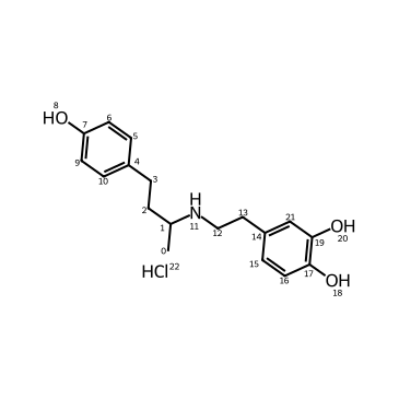 CC(CCc1ccc(O)cc1)NCCc1ccc(O)c(O)c1.Cl